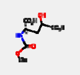 CC(C)(C)OC(=O)N[C@@H](CC(O)C(=O)O)C(=O)O